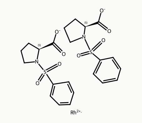 O=C([O-])[C@@H]1CCCN1S(=O)(=O)c1ccccc1.O=C([O-])[C@@H]1CCCN1S(=O)(=O)c1ccccc1.[Rh+2]